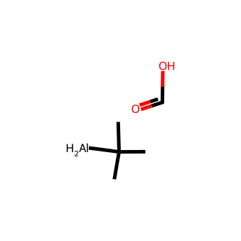 C[C](C)(C)[AlH2].O=CO